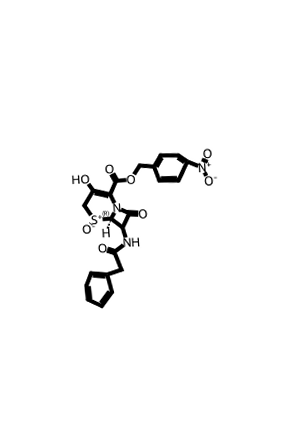 O=C(Cc1ccccc1)NC1C(=O)N2C(C(=O)OCc3ccc([N+](=O)[O-])cc3)=C(O)C[S+]([O-])[C@H]12